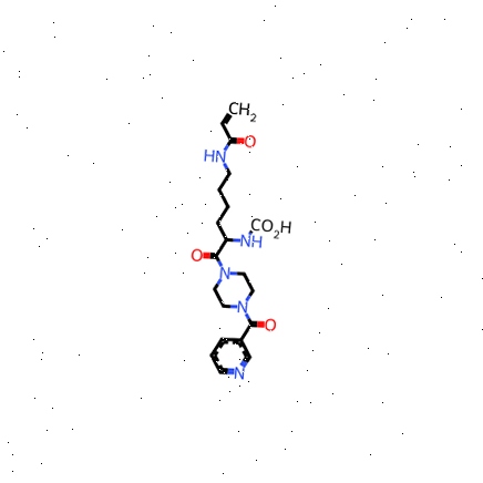 C=CC(=O)NCCCCC(NC(=O)O)C(=O)N1CCN(C(=O)c2cccnc2)CC1